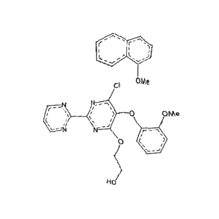 COc1cccc2ccccc12.COc1ccccc1Oc1c(Cl)nc(-c2ncccn2)nc1OCCO